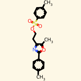 Cc1ccc(-c2nc(CCOS(=O)(=O)c3ccc(C)cc3)c(C)o2)cc1